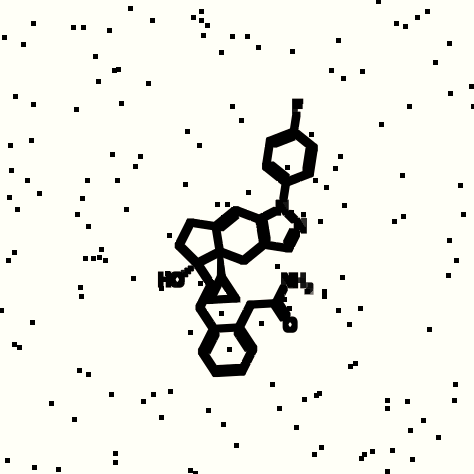 NC(=O)Cc1ccccc1CC[C@@]1(O)CCC2=Cc3c(cnn3-c3ccc(F)cc3)C[C@@]21C1CC1